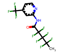 CC(F)(F)C(F)(F)C(F)(F)C(=O)Nc1cc(C(F)(F)F)ccn1